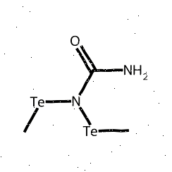 C[Te]N([Te]C)C(N)=O